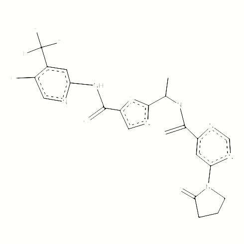 CC(NC(=O)c1cc(N2CCCC2=O)ncn1)c1ncc(C(=O)Nc2cc(C(F)(F)F)c(Cl)cn2)s1